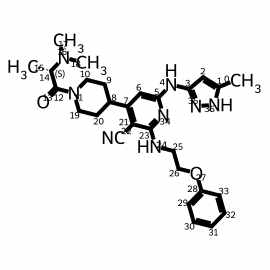 Cc1cc(Nc2cc(C3CCN(C(=O)[C@H](C)N(C)C)CC3)c(C#N)c(NCCOc3ccccc3)n2)n[nH]1